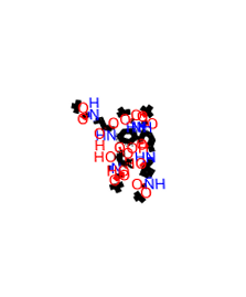 CN(C(=O)OC(C)(C)C)[C@@H]1[C@@H](O)[C@@H](O[C@@H]2[C@@H](O)[C@H](C3OC(CNCC4(O)CC(NC(=O)OC(C)(C)C)C4)=CC[C@H]3NC(=O)OC(C)(C)C)[C@@H](NC(=O)OC(C)(C)C)C[C@H]2NC(=O)[C@@H](O)CCNC(=O)OC(C)(C)C)OC[C@]1(C)O